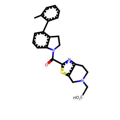 Cc1ccccc1-c1cccc2c1CCN2C(=O)c1nc2c(s1)CN(CC(=O)O)CC2